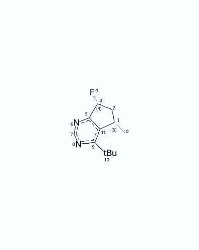 C[C@H]1C[C@@H](F)c2ncnc(C(C)(C)C)c21